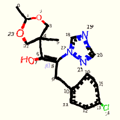 CC1OCC(C)(/C(O)=C(/Cc2ccc(Cl)cc2)n2cncn2)CO1